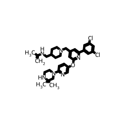 C=C(C)NCC1CCN(Cc2cc(Oc3ccc(N4CCNC(C)(C)C4)nc3)nc(-c3cc(Cl)cc(Cl)c3)c2)CC1